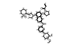 C=CC(=O)N1CCC[C@H]1c1ccc(N2CC[C@H]([C@@H]3CCCCS3(=O)=O)C2)c2cnc(Nc3ccnc(N4CC[C@@H](OC)[C@@H](F)C4)n3)cc12